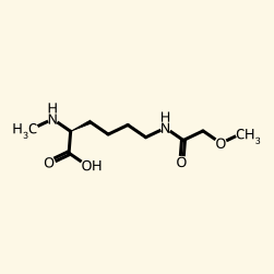 CN[C@@H](CCCCNC(=O)COC)C(=O)O